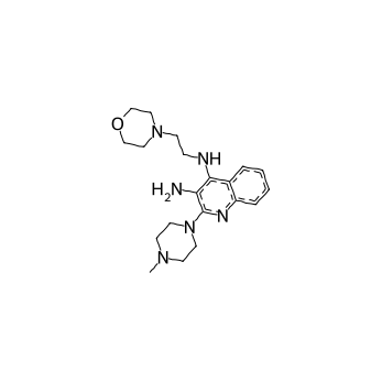 CN1CCN(c2nc3ccccc3c(NCCN3CCOCC3)c2N)CC1